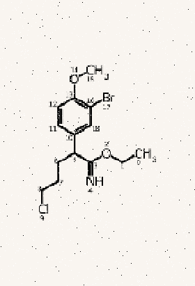 CCOC(=N)C(CCCCl)c1ccc(OC)c(Br)c1